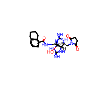 N=C1N[C@H]2[C@H](CN3C(=O)CCC3=O)NC(=N)N3C[C@H](NC(=O)c4cccc5c4CCCC5)[C@@H](O)[C@]23N1